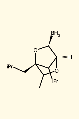 B[C@@H]1O[C@@]2(CC(C)C)C(C)O[C@H]1C2C(C)C